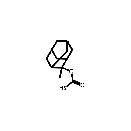 CC1(OC(=O)S)C2CC3CC(C2)CC1C3